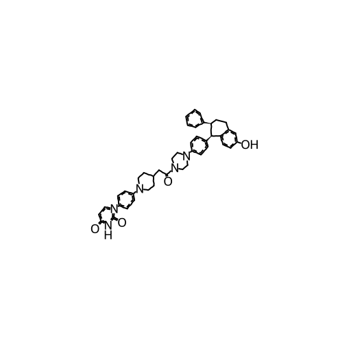 O=C(CC1CCN(c2ccc(-n3ccc(=O)[nH]c3=O)cc2)CC1)N1CCN(c2ccc([C@@H]3c4ccc(O)cc4CC[C@@H]3c3ccccc3)cc2)CC1